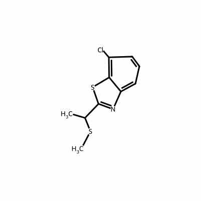 CSC(C)c1nc2cccc(Cl)c2s1